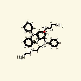 NCCNCCOB(c1ccccc1)c1ccccc1Oc1ccccc1B(OCCNCCN)c1ccccc1